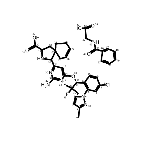 Cc1ccn(-c2cc(Cl)ccc2[C@@H](Oc2cc(C3NC(C(=O)O)CC34CC=CCC4)nc(N)n2)C(F)(F)F)n1.O=C(O)CNC(=O)c1ccccc1